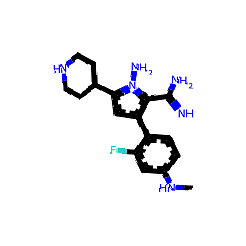 CNc1ccc(-c2cc(C3CCNCC3)n(N)c2C(=N)N)c(F)c1